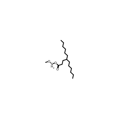 CCCCCCC(CCCCCC)CCC(=O)O[SiH2]OC